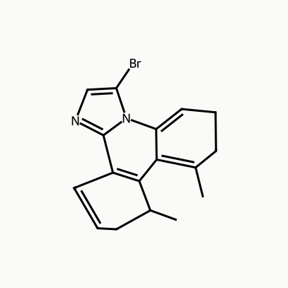 CC1=c2c3c(c4ncc(Br)n4c2=CCC1)C=CCC3C